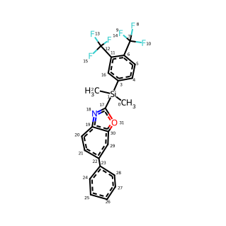 C[Si](C)(c1ccc(C(F)(F)F)c(C(F)(F)F)c1)c1nc2ccc(-c3ccccc3)cc2o1